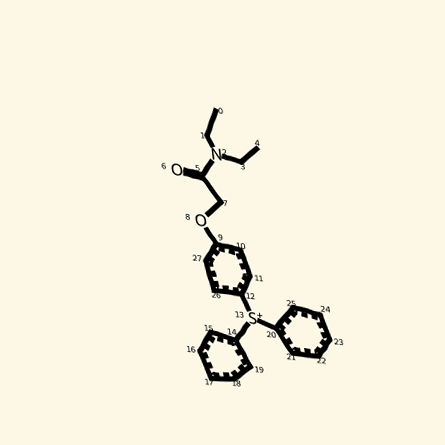 CCN(CC)C(=O)COc1ccc([S+](c2ccccc2)c2ccccc2)cc1